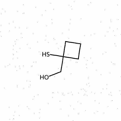 OCC1(S)CCC1